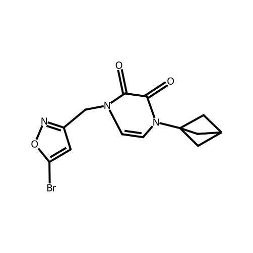 O=c1c(=O)n(C23CC(C2)C3)ccn1Cc1cc(Br)on1